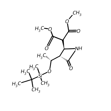 COC(=O)C(C(=O)OC)[C@H]1NC(=O)[C@@H]1[C@@H](C)O[Si](C)(C)C(C)(C)C